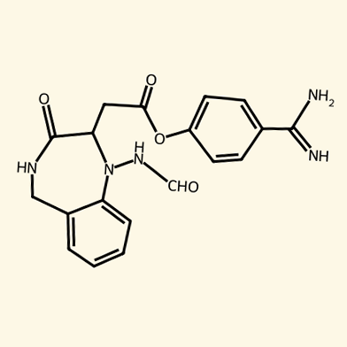 N=C(N)c1ccc(OC(=O)CC2C(=O)NCc3ccccc3N2NC=O)cc1